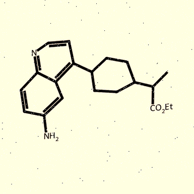 CCOC(=O)C(C)C1CCC(c2ccnc3ccc(N)cc23)CC1